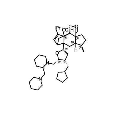 CC(C)C1=CC2CC3(C=O)[C@@H]4CC[C@@H](C)[C@H]4CC2([C@H]2C[C@H](CC4CCCC4)[C@H](CN4CCCCC4CN4CCCCC4)O2)[C@]13C(=O)O